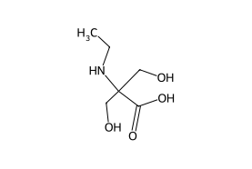 CCNC(CO)(CO)C(=O)O